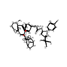 Cc1ccc(-n2nc(C(C)(C)C)cc2NC(=O)Nc2cccc(CC3CC4CCC(C3)N4S(=O)(=O)c3ccc4c(c3)OCCN4C)c2)cc1